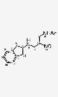 CC(=O)NCC(CNC1Cc2ccccc2C1)N=O